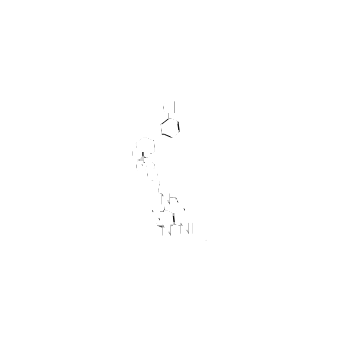 Nc1ncnc2c1ncn2CCOCP1(=O)C[C@H](c2cccc(Cl)c2)CCO1